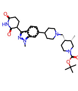 C[C@@H]1CN(C(=O)OC(C)(C)C)CC[C@@H]1CN1CCC(c2ccc3c(C4CCC(=O)NC4=O)nn(C)c3c2)CC1